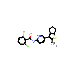 O=C(Nc1ccc(-c2c(C(F)(F)F)sc3c2CCC3)cn1)c1c(F)cccc1F